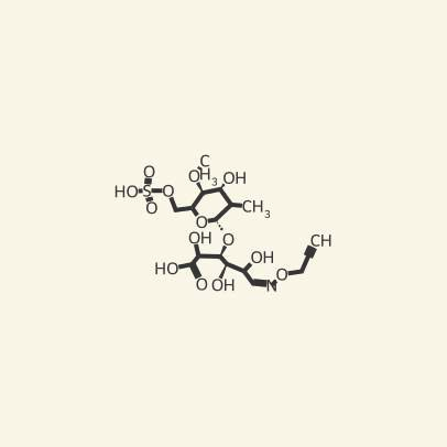 C#CCO/N=C\C(O)[C@@H](O)[C@H](O[C@@H]1OC(COS(=O)(=O)O)[C@@H](OC)[C@H](O)C1C)C(O)C(=O)O